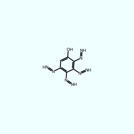 N=Nc1[c]c(O)c(N=N)c(N=N)c1N=N